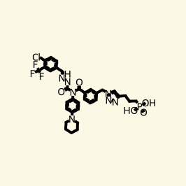 O=C(NN=Cc1ccc(Cl)c(C(F)(F)F)c1)N(C(=O)c1cccc(Cn2cc(CCCP(=O)(O)O)nn2)c1)c1ccc(N2CCCCC2)cc1